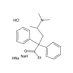 CCC(=O)C(CC(C)N(C)C)(c1ccccc1)c1ccccc1.Cl.[NaH].[NaH]